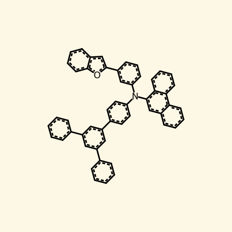 c1ccc(-c2cc(-c3ccccc3)cc(-c3ccc(N(c4cccc(-c5cc6ccccc6o5)c4)c4cc5ccccc5c5ccccc45)cc3)c2)cc1